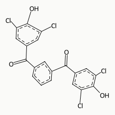 O=C(c1cccc(C(=O)c2cc(Cl)c(O)c(Cl)c2)c1)c1cc(Cl)c(O)c(Cl)c1